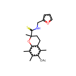 CC(=O)Oc1c(C)c(C)c2c(c1C)CCC(C)(C(=S)NCc1ccco1)O2